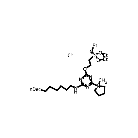 CCCCCCCCCCCCCCCCNc1nc(OCC[Si](OCC)(OCC)OCC)nc([N+]2(C)CCCC2)n1.[Cl-]